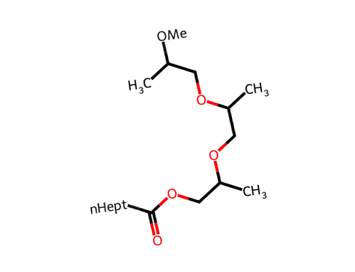 CCCCCCCC(=O)OCC(C)OCC(C)OCC(C)OC